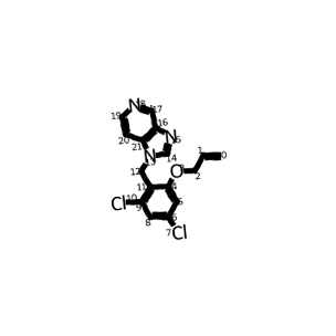 C=CCOc1cc(Cl)cc(Cl)c1Cn1cnc2[c]nccc21